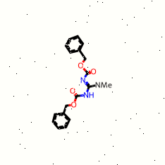 CN/C(=N\C(=O)OCc1ccccc1)NC(=O)OCc1ccccc1